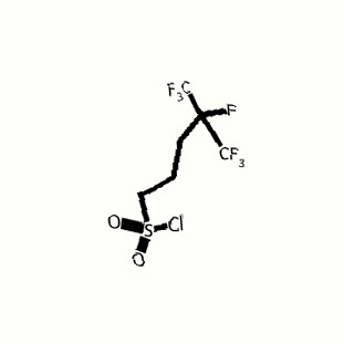 O=S(=O)(Cl)CCCC(F)(C(F)(F)F)C(F)(F)F